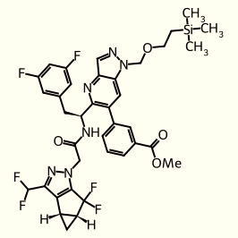 COC(=O)c1cccc(-c2cc3c(cnn3COCC[Si](C)(C)C)nc2[C@H](Cc2cc(F)cc(F)c2)NC(=O)Cn2nc(C(F)F)c3c2C(F)(F)[C@@H]2C[C@H]32)c1